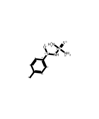 Cc1ccc([S+]([O-])NP(N)(N)=S)cc1